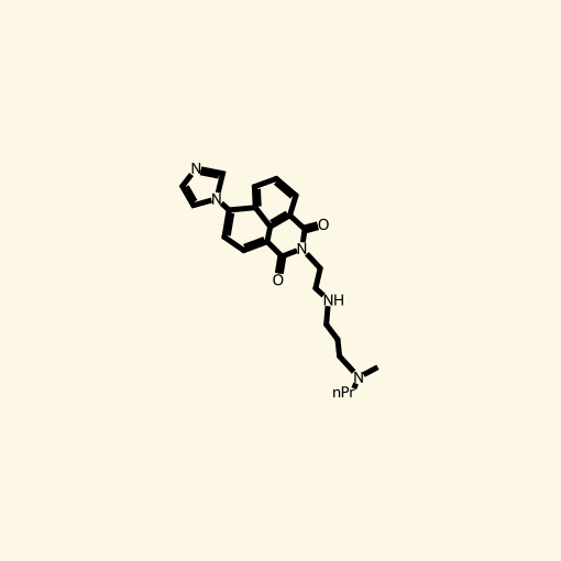 CCCN(C)CCCNCCN1C(=O)c2cccc3c(-n4ccnc4)ccc(c23)C1=O